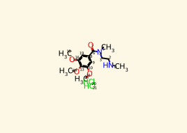 CNCCN(C)C(=O)c1cc(OC)c(OC)c(OC)c1.Cl.Cl